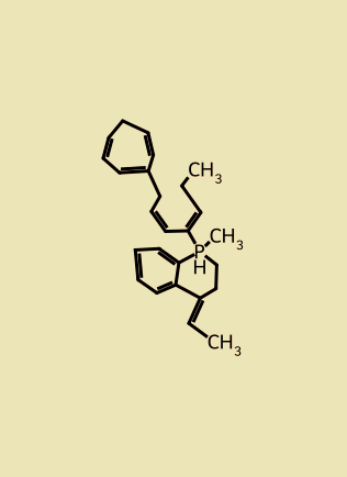 C/C=C1\CC[PH](C)(C(/C=C\CC2=CC=CCC=C2)=C/CC)c2ccccc21